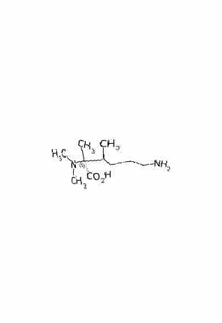 CC(CCCN)[C@@](C)(C(=O)O)N(C)C